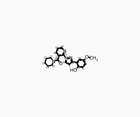 COc1ccc(O)c(-c2ccn(-c3ncccc3C(=O)N3CCCCC3)n2)c1